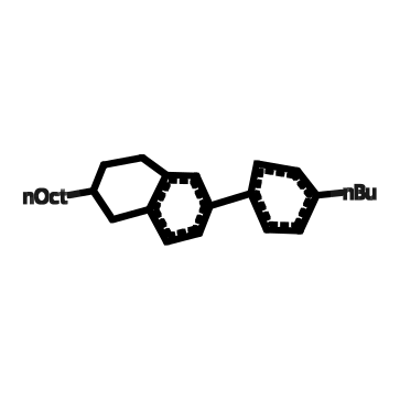 CCCCCCCCC1CCc2cc(-c3ccc(CCCC)cc3)ccc2C1